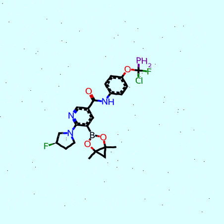 CC12CC1(C)OB(c1cc(C(=O)Nc3ccc(OC(F)(P)Cl)cc3)cnc1N1CC[C@@H](F)C1)O2